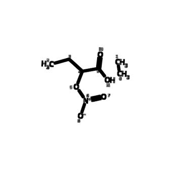 CC.CCC(O[N+](=O)[O-])C(=O)O